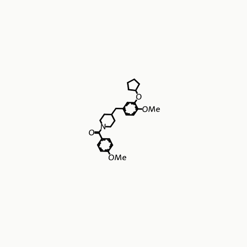 COc1ccc(C(=O)N2CCC(Cc3ccc(OC)c(OC4CCCC4)c3)CC2)cc1